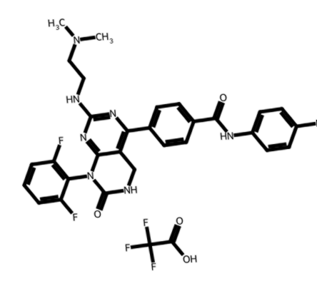 CN(C)CCNc1nc(-c2ccc(C(=O)Nc3ccc(F)cc3)cc2)c2c(n1)N(c1c(F)cccc1F)C(=O)NC2.O=C(O)C(F)(F)F